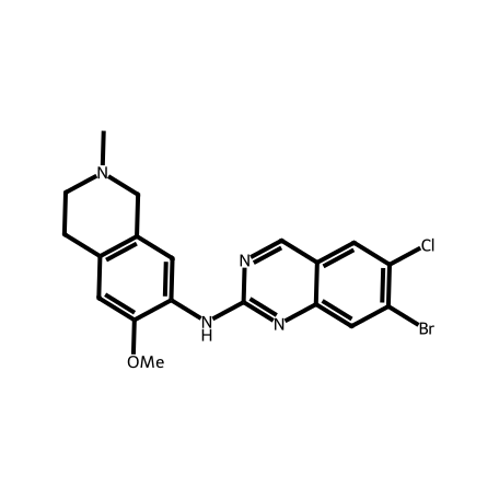 COc1cc2c(cc1Nc1ncc3cc(Cl)c(Br)cc3n1)CN(C)CC2